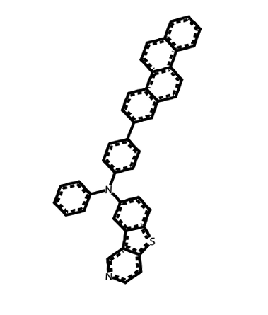 c1ccc(N(c2ccc(-c3ccc4c(ccc5c6ccccc6ccc45)c3)cc2)c2ccc3sc4ccncc4c3c2)cc1